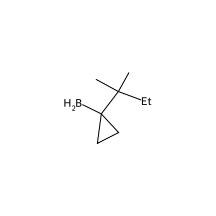 BC1(C(C)(C)CC)CC1